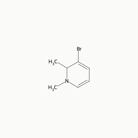 CC1C(Br)=CC=CN1C